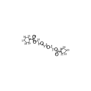 O=C(OCCOCCOCCOC(=O)C1CCCCC1)C1CCCCC1